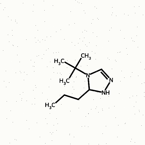 CCCC1NN=CN1C(C)(C)C